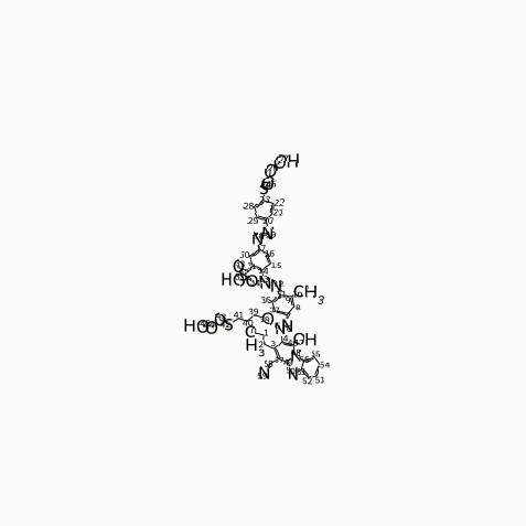 CCCc1c(N=Nc2cc(C)c(N=Nc3ccc(N=Nc4ccc(SOOO)cc4)cc3S(=O)(=O)O)cc2OCCCSOOO)c(O)n2c(nc3ccccc32)c1C#N